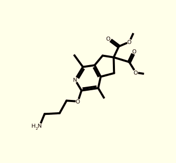 COC(=O)C1(C(=O)OC)Cc2c(C)nc(OCCCN)c(C)c2C1